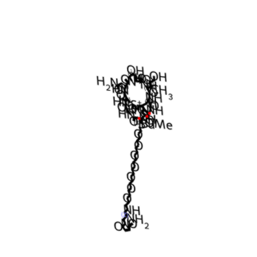 CC[C@H](C)[C@@H]1NC(=O)CNC(=O)[C@@H]2Cc3c([nH]c4c(CSCCOCCOCCOCCOCCOCCOCCOCCN/C=C(\N)CN5C(=O)C=CC5=O)c(OC)ccc34)[S+]([O-])C[C@H](NC(=O)CNC1=O)C(=O)N[C@@H](CC(N)=O)C(=O)N1C[C@H](O)C[C@H]1C(=O)N[C@@H]([C@@H](C)[C@@H](O)CO)C(=O)N2